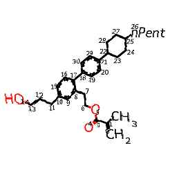 C=C(C)C(=O)OCCc1cc(CCCO)ccc1-c1ccc(C2CCC(CCCCC)CC2)cc1